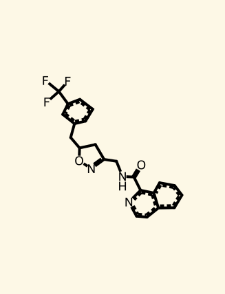 O=C(NCC1=NOC(Cc2cccc(C(F)(F)F)c2)C1)c1nccc2ccccc12